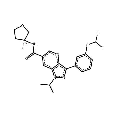 CC(C)n1nc(-c2cccc(OC(F)F)c2)c2ncc(C(=O)N[C@@]3(C)CCOC3)cc21